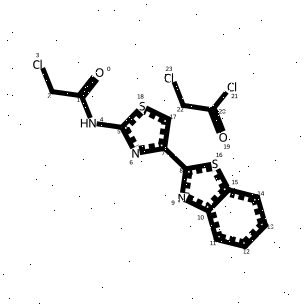 O=C(CCl)Nc1nc(-c2nc3ccccc3s2)cs1.O=C(Cl)CCl